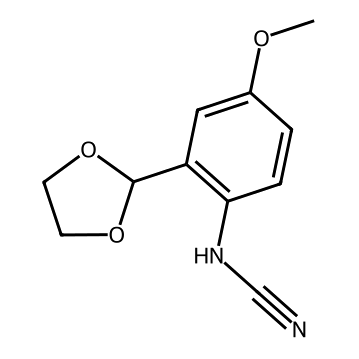 COc1ccc(NC#N)c(C2OCCO2)c1